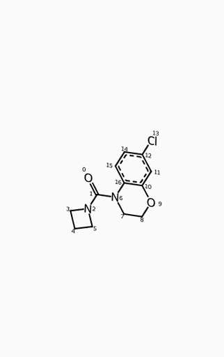 O=C(N1CCC1)N1CCOc2cc(Cl)ccc21